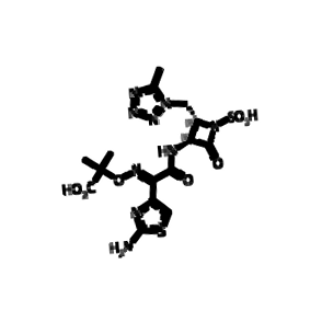 Cc1nnnn1C[C@H]1[C@H](NC(=O)C(=NOC(C)(C)C(=O)O)c2csc(N)n2)C(=O)N1S(=O)(=O)O